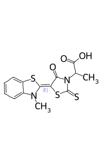 CC(C(=O)O)N1C(=O)/C(=C2\Sc3ccccc3N2C)SC1=S